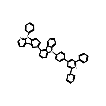 c1ccc(-c2cc(-c3ccc(-n4c5ccccc5c5c(-c6ccc7c(c6)c6cccnc6n7-c6ccccc6)cccc54)cc3)cc(-c3ccccc3)n2)cc1